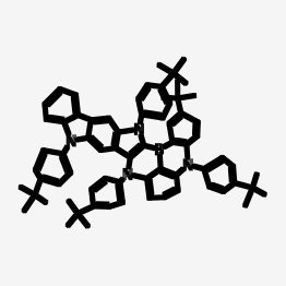 CC(C)(C)c1ccc(N2c3ccc(C(C)(C)C)cc3B3c4c2cccc4N(c2ccc(C(C)(C)C)cc2)c2c3n(-c3ccc(C(C)(C)C)cc3)c3cc4c5ccccc5n(-c5ccc(C(C)(C)C)cc5)c4cc23)cc1